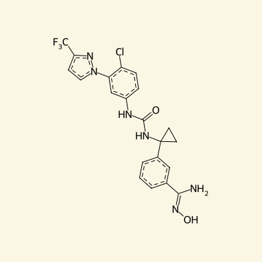 N/C(=N\O)c1cccc(C2(NC(=O)Nc3ccc(Cl)c(-n4ccc(C(F)(F)F)n4)c3)CC2)c1